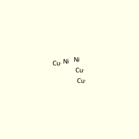 [Cu].[Cu].[Cu].[Ni].[Ni]